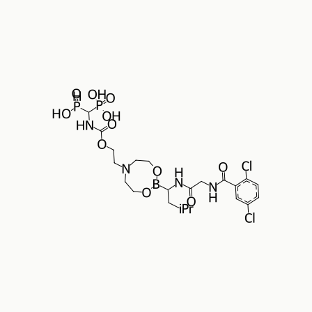 CC(C)CC(NC(=O)CNC(=O)c1cc(Cl)ccc1Cl)B1OCCN(CCOC(=O)NC([PH](=O)O)P(=O)(O)O)CCO1